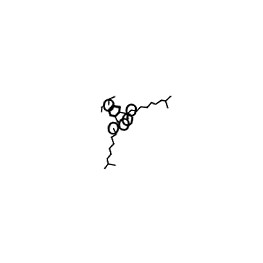 CC(C)CCCCCCOC(=O)c1ccccc1C(=O)OCCCCCCC(C)C.CCOCC